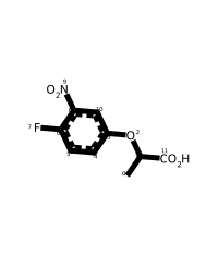 CC(Oc1ccc(F)c([N+](=O)[O-])c1)C(=O)O